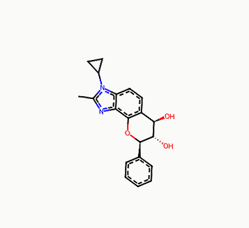 Cc1nc2c3c(ccc2n1C1CC1)[C@@H](O)[C@H](O)[C@@H](c1ccccc1)O3